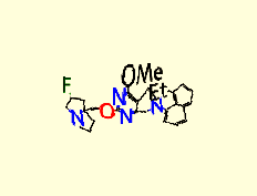 CCc1cccc2cccc(N3CCc4c(nc(OC[C@@]56CCCN5C[C@H](F)C6)nc4OC)C3)c12